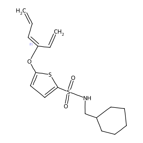 C=C/C=C(\C=C)Oc1ccc(S(=O)(=O)NCC2CCCCC2)s1